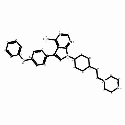 Nc1ncnc2c1c(-c1ccc(Oc3ccccc3)cc1)cn2C1CCC(CCN2CCOCC2)CC1